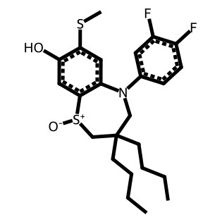 CCCCC1(CCCC)CN(c2ccc(F)c(F)c2)c2cc(SC)c(O)cc2[S+]([O-])C1